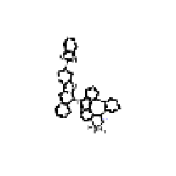 C/C=C1/c2ccccc2-c2cccc3c2c2c1c(C)ccc2n3-c1c2ccccc2cc2c1oc1cc(-c3nc4ccccc4o3)ccc12